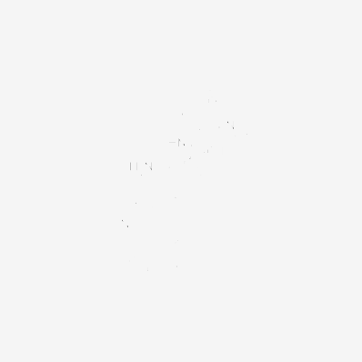 CC(C)(NC(=O)C(N)Cc1c[nH]c2ccccc12)C(N)=O